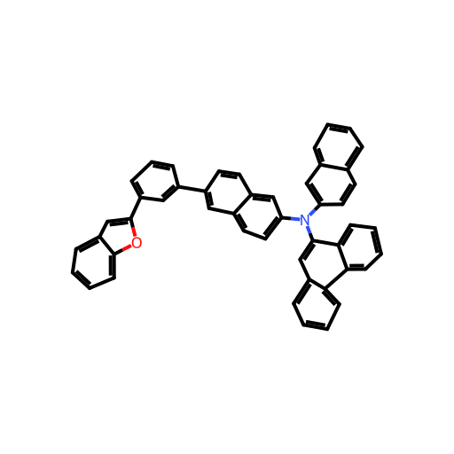 c1cc(-c2ccc3cc(N(c4ccc5ccccc5c4)c4cc5ccccc5c5ccccc45)ccc3c2)cc(-c2cc3ccccc3o2)c1